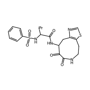 CC(C)C(NS(=O)(=O)c1ccccc1)C(=O)NC1Cc2ncsc2CCNC(=O)C1=O